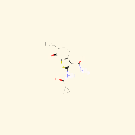 CC1CCc2c(sc(NC(=O)C3CC3)c2C(N)=O)C1=O